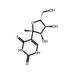 C[C@@]1(c2c[nH]c(=O)[nH]c2=S)O[C@H](CO)[C@@H](O)[C@H]1O